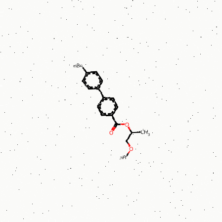 CCCCc1ccc(-c2ccc(C(=O)OC(C)COCCC)cc2)cc1